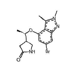 Cc1c2c(O[C@H](C)C3CNC(=O)C3)cc(Br)cc2nn1C